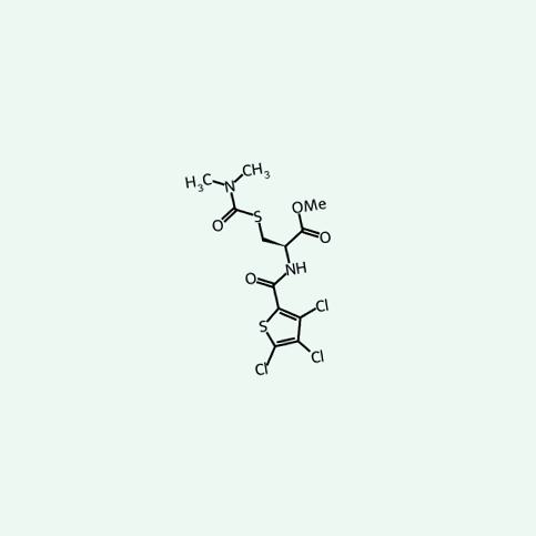 COC(=O)[C@H](CSC(=O)N(C)C)NC(=O)c1sc(Cl)c(Cl)c1Cl